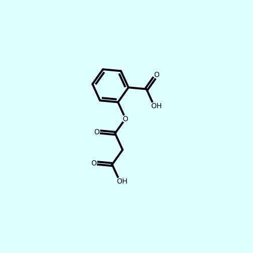 O=C(O)CC(=O)Oc1ccccc1C(=O)O